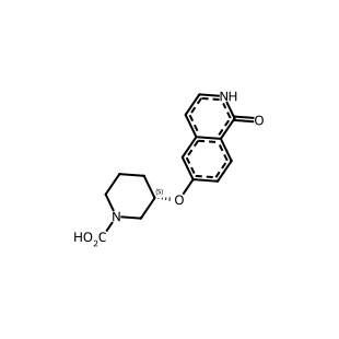 O=C(O)N1CCC[C@H](Oc2ccc3c(=O)[nH]ccc3c2)C1